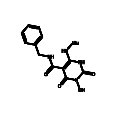 CC(C)(C)Nc1[nH]c(=O)n(O)c(=O)c1C(=O)NCc1ccccc1